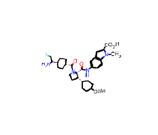 COC1CCC([C@@H]2CCN(C(=O)[C@H]3CC[C@H](C(N)CF)CC3)[C@@H]2C(=O)Nc2ccc3c(c2)cc(C(=O)O)n3C)CC1